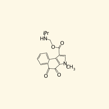 CC(C)NCOC(=O)c1cn(C)c2c1-c1ccccc1C(=O)C2=O